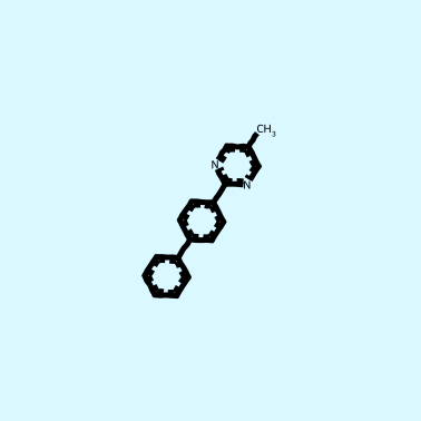 Cc1cnc(-c2ccc(-c3ccccc3)cc2)nc1